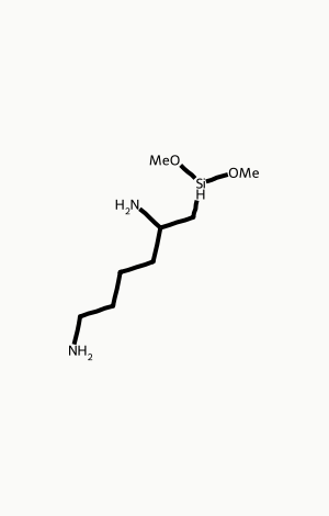 CO[SiH](CC(N)CCCCN)OC